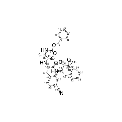 C[C@H](NC(=O)OCc1ccccc1)C(=O)N[C@@H](Cc1ccc(C#N)cc1)C(=O)N[C@@H](Cc1ccccc1)C(=O)[C@@]1(C)CO1